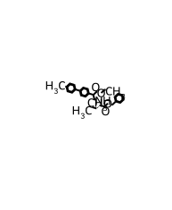 CCOC(=O)C(CN[C@@H](CC(C)C)C(=O)OCc1ccccc1)c1ccc(-c2ccc(C)cc2)cc1